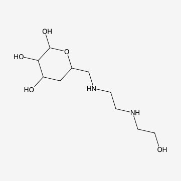 OCCNCCNCC1CC(O)C(O)C(O)O1